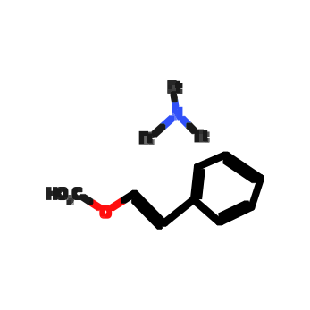 CCN(CC)CC.O=C(O)OC=Cc1ccccc1